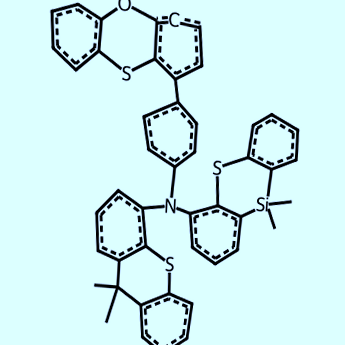 CC1(C)c2ccccc2Sc2c(N(c3ccc(-c4cccc5c4Sc4ccccc4O5)cc3)c3cccc4c3Sc3ccccc3[Si]4(C)C)cccc21